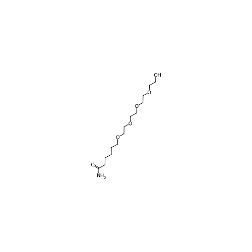 NC(=O)CCCCCOCCOCCOCCOCCO